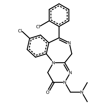 CN(C)CN1N=C2CN=C(c3ccccc3Cl)c3cc(Cl)ccc3N2CC1=O